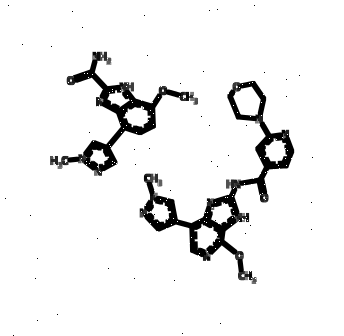 COc1ccc(-c2cnn(C)c2)c2nc(C(N)=O)[nH]c12.COc1ncc(-c2cnn(C)c2)c2nc(NC(=O)c3ccnc(N4CCOCC4)c3)[nH]c12